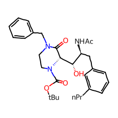 CCCc1cccc(C[C@H](NC(C)=O)[C@H](O)[C@H]2C(=O)N(Cc3ccccc3)CCN2C(=O)OC(C)(C)C)c1